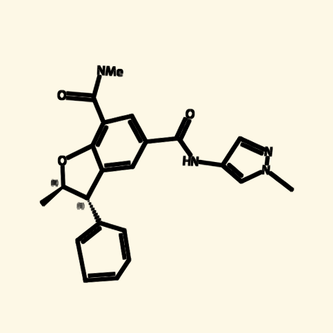 CNC(=O)c1cc(C(=O)Nc2cnn(C)c2)cc2c1O[C@H](C)[C@H]2c1ccccc1